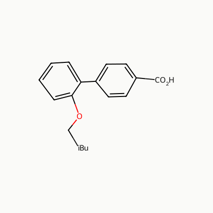 CCC(C)COc1ccccc1-c1ccc(C(=O)O)cc1